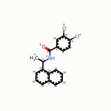 CC(NC(=O)c1ccc(Cl)c(Cl)c1)c1cccc2ccccc12